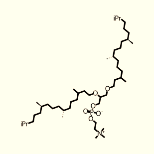 CC(C)CCC[C@@H](C)CCC[C@@H](C)CCCC(C)CCOCC(COP(=O)([O-])OCC[N+](C)(C)C)OCCC(C)CCC[C@H](C)CCC[C@H](C)CCCC(C)C